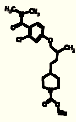 CC(CCC1CCN(C(=O)OC(C)(C)C)CC1)COc1ccc(C(=O)N(C)C)c(Cl)c1